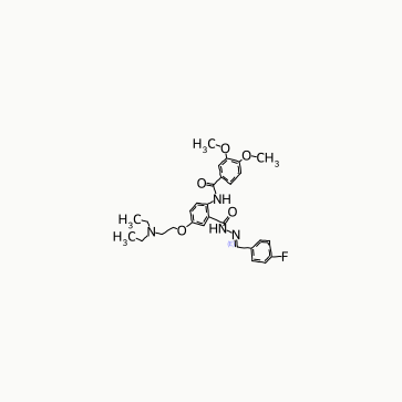 CCN(CC)CCOc1ccc(NC(=O)c2ccc(OC)c(OC)c2)c(C(=O)N/N=C/c2ccc(F)cc2)c1